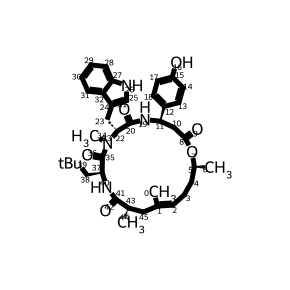 C/C1=C\CC[C@H](C)OC(=O)C[C@H](c2ccc(O)cc2)NC(=O)[C@@H](Cc2c[nH]c3ccccc23)N(C)C(=O)[C@H](CC(C)(C)C)NC(=O)[C@@H](C)C1